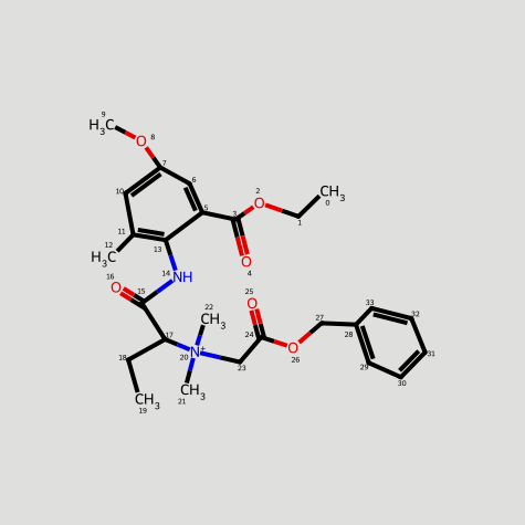 CCOC(=O)c1cc(OC)cc(C)c1NC(=O)C(CC)[N+](C)(C)CC(=O)OCc1ccccc1